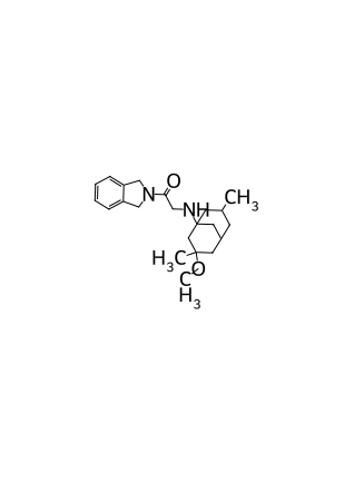 COC1(C)CC2CC(C)CC(NCC(=O)N3Cc4ccccc4C3)(C2)C1